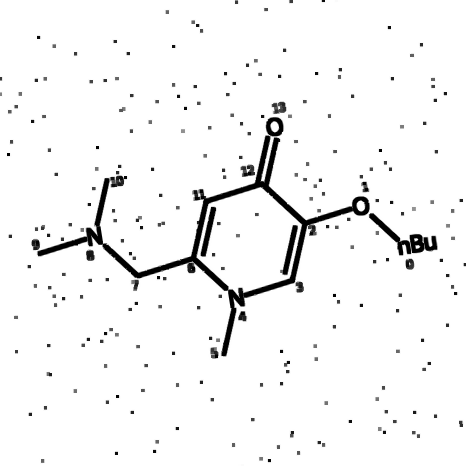 CCCCOc1cn(C)c(CN(C)C)cc1=O